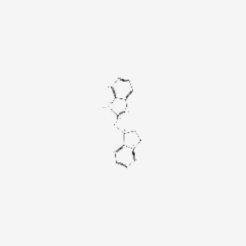 c1ccc2c(c1)CCC2Nc1nc2ccccc2[nH]1